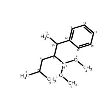 CO[SiH](OC)C(CC(C)C)C(C)c1ccccc1